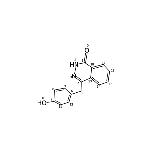 O=c1[nH]nc(Cc2ccc(O)cc2)c2ccccc12